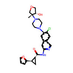 C[C@@]1(N2CCN(c3cc4cc(NC(=O)[C@@H]5C[C@H]5c5ccco5)ncc4cc3Cl)CC2)COC[C@@H]1O